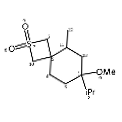 COC1(C(C)C)CCC2(CS(=O)(=O)C2)C(C)C1